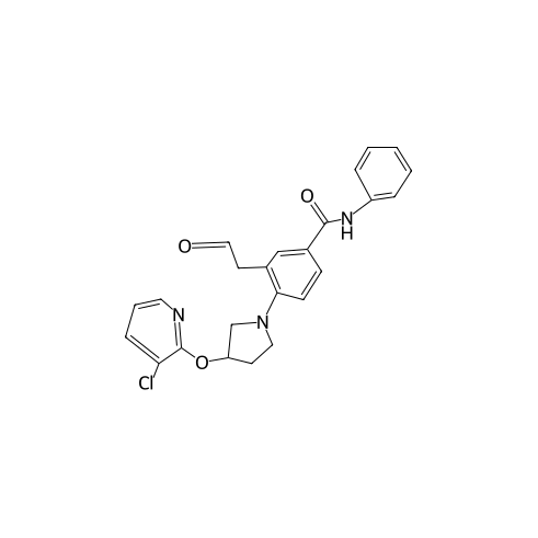 O=CCc1cc(C(=O)Nc2ccccc2)ccc1N1CCC(Oc2ncccc2Cl)C1